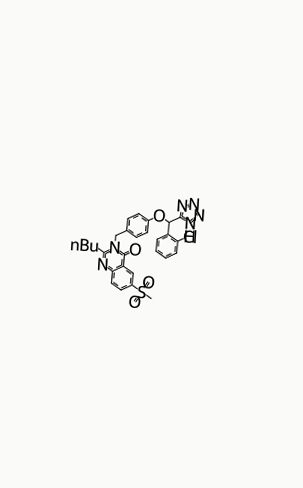 CCCCc1nc2ccc(S(C)(=O)=O)cc2c(=O)n1Cc1ccc(OC(c2nnn[nH]2)c2ccccc2Cl)cc1